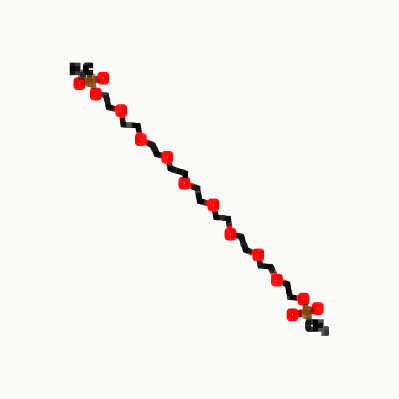 CS(=O)(=O)OCCOCCOCCOCCOCCOCCOCCOCCOCCOS(C)(=O)=O